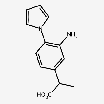 CC(C(=O)O)c1ccc(-n2cccc2)c(N)c1